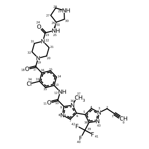 C#CCn1cc(-c2cnc(C(=O)Nc3ccc(C(=O)N4CCN(C(=O)N[C@H]5CCNC5)CC4)c(Cl)c3)n2C)c(C(F)(F)F)n1